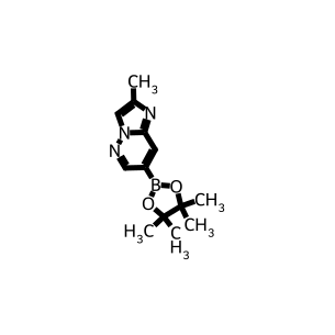 Cc1cn2ncc(B3OC(C)(C)C(C)(C)O3)cc2n1